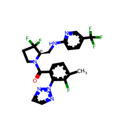 Cc1ccc(C(=O)N2CCC(F)(F)[C@H]2CNc2ccc(C(F)(F)F)cn2)c(-n2nccn2)c1F